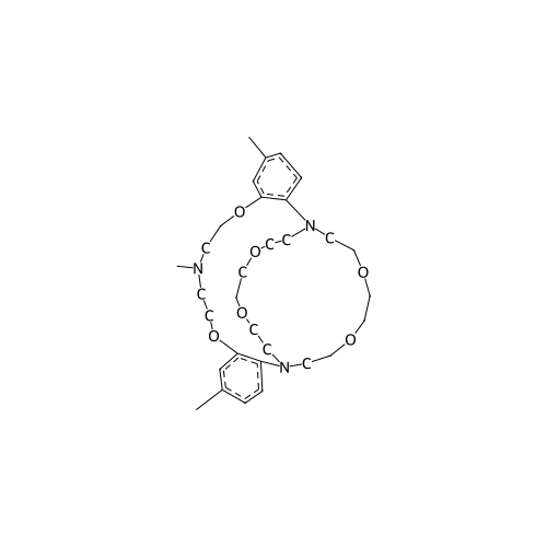 Cc1ccc2c(c1)OCCN(C)CCOc1cc(C)ccc1N1CCOCCOCCN2CCOCCOCC1